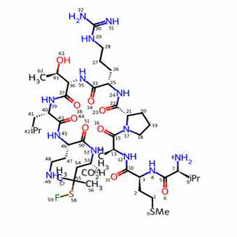 CSCC[C@H](NC(=O)[C@@H](N)C(C)C)C(=O)N[C@@H](C)C(=O)N1CCC[C@H]1C(=O)N[C@@H](CCCNC(=N)N)C(=O)N[C@H](C(=O)N[C@@H](CC(C)C)C(=O)N[C@@H](CCN)C(=O)N[C@@H](CC(C)(C)SF)C(=O)O)[C@@H](C)O